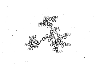 CCNC(=O)c1nnc(-c2cc(C(C)C)c(O)cc2O)n1-c1ccc2c(ccn2CCC2CCN(C(=O)CC(CC(=O)N3CCC(CCn4ccc5cc(-n6c(C(=O)NCC)nnc6-c6cc(C(C)C)c(O)cc6O)ccc54)CC3)NC(=O)CCNC(=O)[C@@H](CCC(=O)OC(C)(C)C)NC(=O)[C@@H](CCC(=O)OC(C)(C)C)NC(=O)[C@@H](CCC(=O)OC(C)(C)C)NC(=O)COCCOCCN)CC2)c1